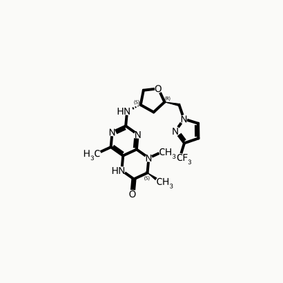 Cc1nc(N[C@@H]2CO[C@@H](Cn3ccc(C(F)(F)F)n3)C2)nc2c1NC(=O)[C@H](C)N2C